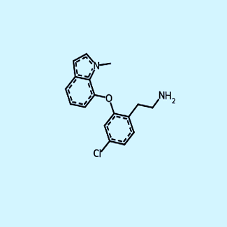 Cn1ccc2cccc(Oc3cc(Cl)ccc3CCN)c21